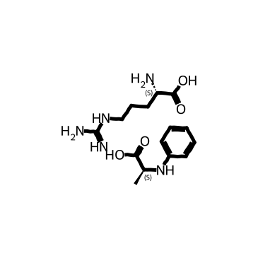 C[C@H](Nc1ccccc1)C(=O)O.N=C(N)NCCC[C@H](N)C(=O)O